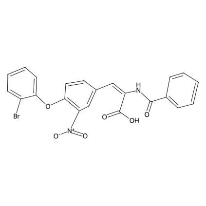 O=C(O)/C(=C\c1ccc(Oc2ccccc2Br)c([N+](=O)[O-])c1)NC(=O)c1ccccc1